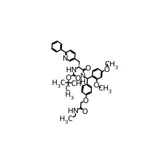 CCNC(=O)COc1ccc(C(NC(=O)[C@H](Cc2ccc(-c3ccccc3)nc2)NC(=O)OC(C)(C)C)c2ccc(OC)cc2OC)cc1